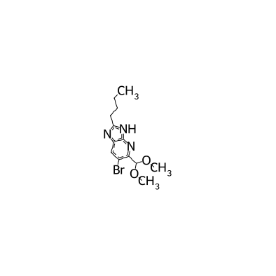 CCCCc1nc2cc(Br)c(C(OC)OC)nc2[nH]1